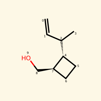 C=CC(C)[C@@H]1CC[C@H]1CO